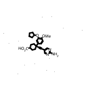 COc1ccc(C2(C#Cc3cnc(N)nc3)CCC(C(=O)O)CC2)cc1OC1CCCC1